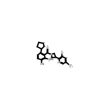 COc1c(C#N)ccc(C2CCCC2)c1C(=O)N1CC(c2ncc(C(F)(F)F)cc2Cl)C1